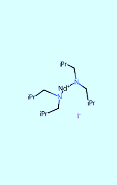 CC(C)C[N](CC(C)C)[Nd+][N](CC(C)C)CC(C)C.[I-]